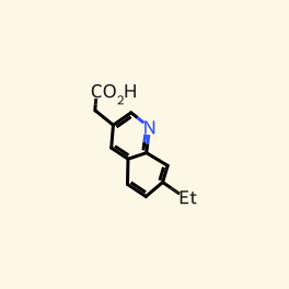 CCc1ccc2cc(CC(=O)O)cnc2c1